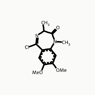 COc1cc2c(cc1OC)N(C)C(=O)C(C)N=C2Cl